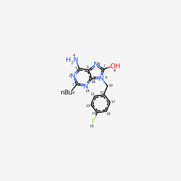 CCCCc1nc(N)c2nc(O)n(Cc3ccc(F)cc3)c2n1